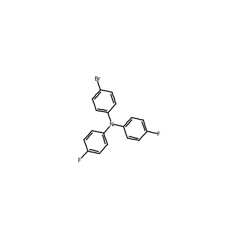 Fc1ccc(N(c2ccc(F)cc2)c2ccc(Br)cc2)cc1